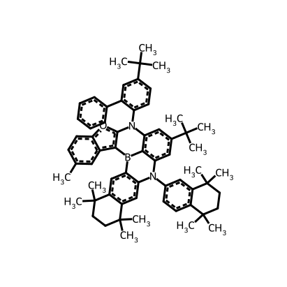 Cc1ccc2oc3c(c2c1)B1c2cc4c(cc2N(c2ccc5c(c2)C(C)(C)CCC5(C)C)c2cc(C(C)(C)C)cc(c21)N3c1ccc(C(C)(C)C)cc1-c1ccccc1)C(C)(C)CCC4(C)C